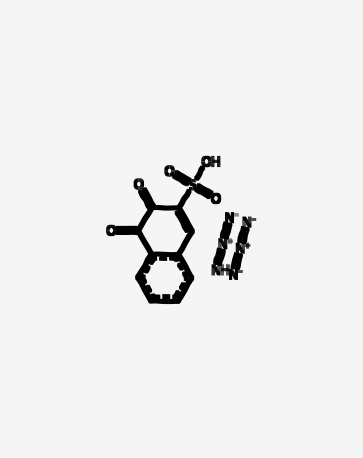 O=C1C(=O)c2ccccc2C=C1S(=O)(=O)O.[N-]=[N+]=N.[N-]=[N+]=[N-]